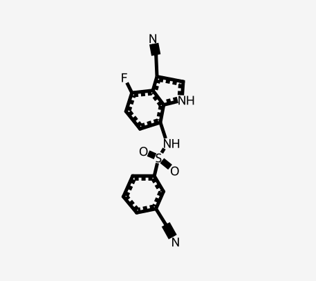 N#Cc1cccc(S(=O)(=O)Nc2ccc(F)c3c(C#N)c[nH]c23)c1